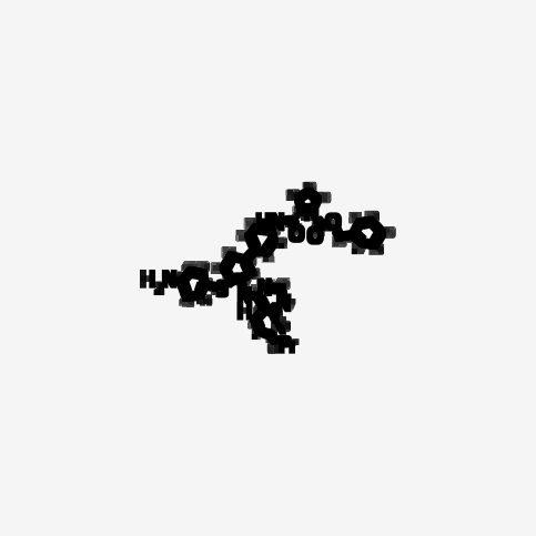 CC(C)c1ccc2c(Nc3cc(-c4ccc(NC(=O)[C@@H]5CCCN5C(=O)OCc5ccccc5)cc4)ccc3Sc3ccc(N)cc3)ncnc2n1